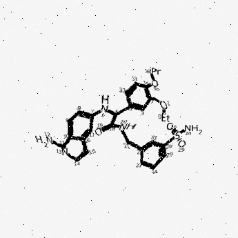 CCOc1cc(C(Nc2ccc3c(N)nccc3c2)C(=O)NCc2cccc(S(N)(=O)=O)c2)ccc1OC(C)C